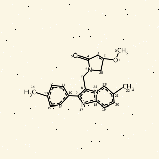 COC1=CC(=O)N(Cc2c(-c3ccc(C)cc3)nc3ccc(C)cn23)C1